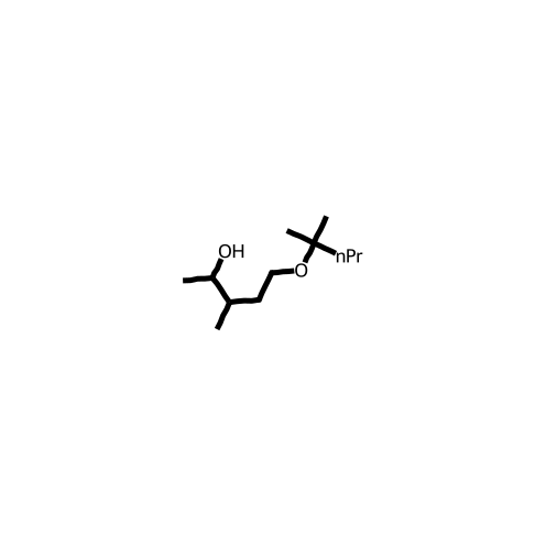 CCCC(C)(C)OCCC(C)C(C)O